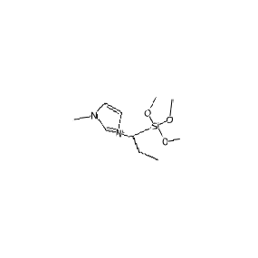 CCC([n+]1ccn(C)c1)[Si](OC)(OC)OC